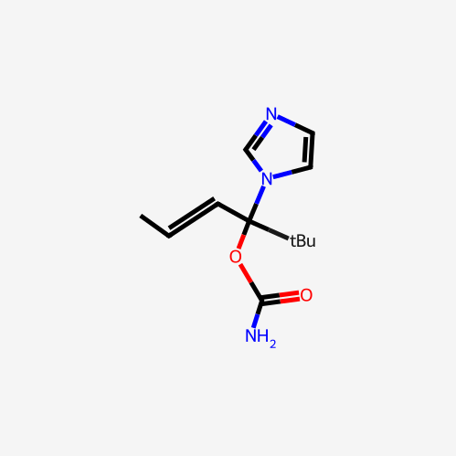 CC=CC(OC(N)=O)(n1ccnc1)C(C)(C)C